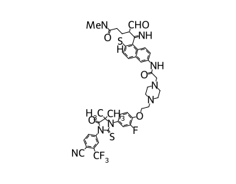 CNC(=O)CCC(C=O)C(=N)c1c(S)ccc2cc(NC(=O)CN3CCN(CCOc4ccc(N5C(=S)N(c6ccc(C#N)c(C(F)(F)F)c6)C(=O)C5(C)C)cc4F)CC3)ccc12